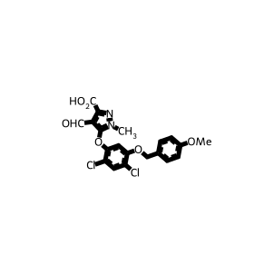 COc1ccc(COc2cc(Oc3c(C=O)c(C(=O)O)nn3C)c(Cl)cc2Cl)cc1